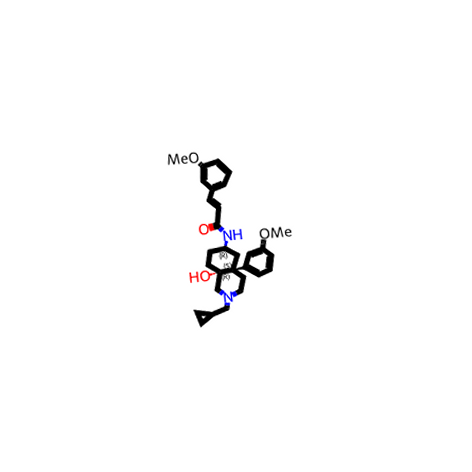 COc1cccc(C=CC(=O)N[C@@H]2CC[C@]3(O)CN(CC4CC4)CC[C@@]3(c3cccc(OC)c3)C2)c1